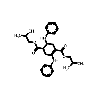 CC(C)COC(=O)C1=C(Nc2ccccc2)CC(C(=O)OCC(C)C)C(Nc2ccccc2)C1